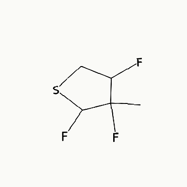 CC1(F)C(F)CSC1F